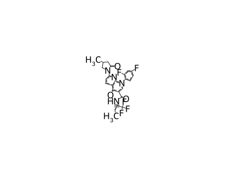 CC[C@@H](NC(=O)c1cn(-c2ccc(F)cc2F)c2nc(N3CC(C)CC3=O)ccc2c1=O)C(F)(F)F